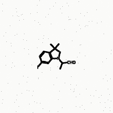 CC(C=O)N1CC(C)(C)c2ccc(I)cc21